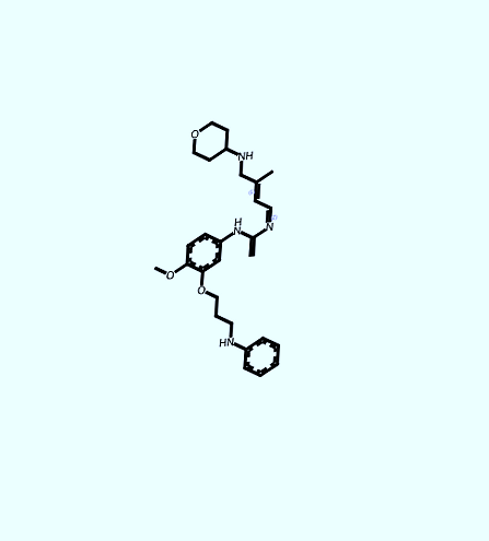 C=C(/N=C\C=C(/C)CNC1CCOCC1)Nc1ccc(OC)c(OCCCNc2ccccc2)c1